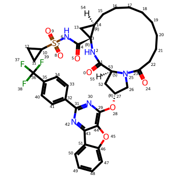 O=C1N[C@]2(C(=O)NS(=O)(=O)C3CC3)C[C@H]2CCCCCCCCC(=O)N2C[C@H](Oc3nc(-c4ccc(C(F)(F)F)cc4)nc4c3oc3ccccc34)C[C@@H]12